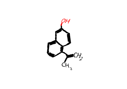 C=C(C)c1cccc2cc(O)ccc12